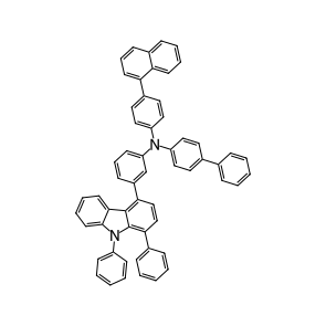 c1ccc(-c2ccc(N(c3ccc(-c4cccc5ccccc45)cc3)c3cccc(-c4ccc(-c5ccccc5)c5c4c4ccccc4n5-c4ccccc4)c3)cc2)cc1